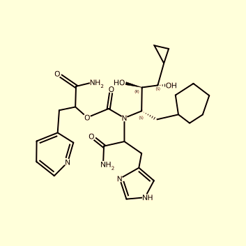 NC(=O)C(Cc1cccnc1)OC(=O)N(C(Cc1c[nH]cn1)C(N)=O)[C@@H](CC1CCCCC1)[C@@H](O)[C@@H](O)C1CC1